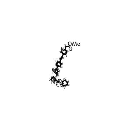 COC(=O)Cc1ccc(C#Cc2ccc(-c3cc(Cn4ccnc4C(C)OC4CCCCO4)no3)cc2)cn1